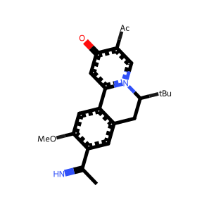 COc1cc2c(cc1C(C)=N)CC(C(C)(C)C)n1cc(C(C)=O)c(=O)cc1-2